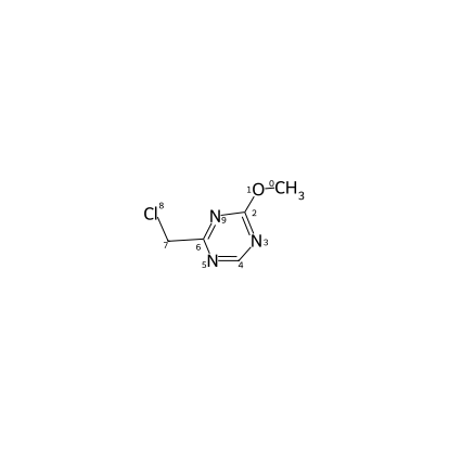 COc1ncnc(CCl)n1